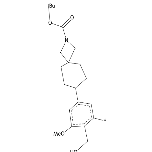 COc1cc(C2CCC3(CC2)CN(C(=O)OC(C)(C)C)C3)cc(F)c1CO